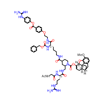 COc1ccc2c3c1O[C@H]1C(OC(=O)N4CCC(C(=O)NCCCC[C@H](NC(=O)OCc5ccccc5)C(=O)NCCOc5ccc(C(=O)Oc6ccc(NC(=N)N)cc6)cc5)CC4CNC(=O)[C@H](CCCNC(=N)N)NC(=O)CNC(C)=O)=CC[C@H]4[C@H](CCC[C@]314)C2